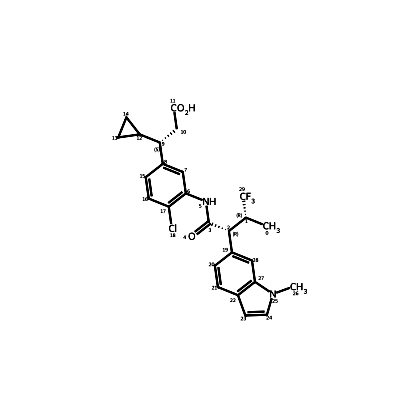 C[C@H]([C@@H](C(=O)Nc1cc([C@@H](CC(=O)O)C2CC2)ccc1Cl)c1ccc2ccn(C)c2c1)C(F)(F)F